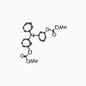 COC(=O)Oc1cccc(N(c2ccccc2)c2cccc(OC(=O)OC)c2)c1